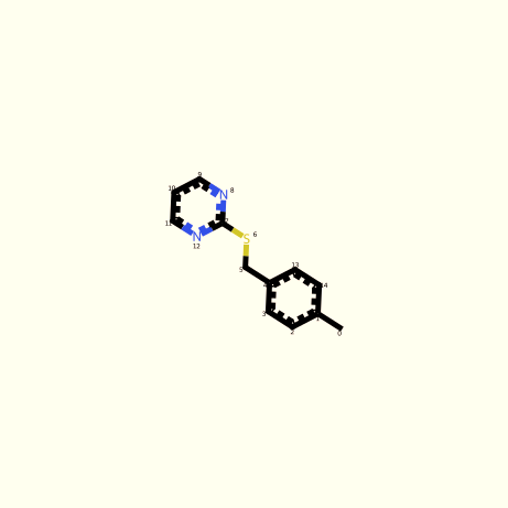 Cc1ccc(CSc2ncccn2)cc1